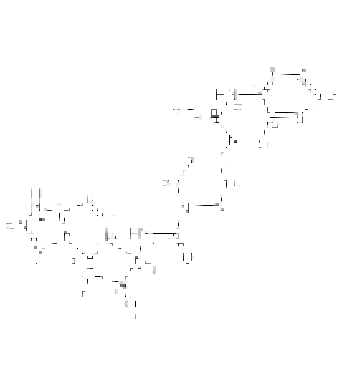 COC(=O)C(C)(NC(=O)N1CCC(N2Cc3ccccc3NC2=O)CC1)c1ccc2[nH]nnc2c1